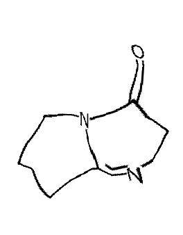 O=C1CN=C2CCCN12